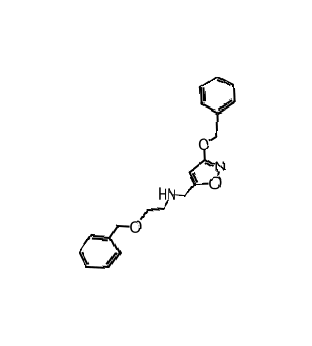 c1ccc(COCCNCc2cc(OCc3ccccc3)no2)cc1